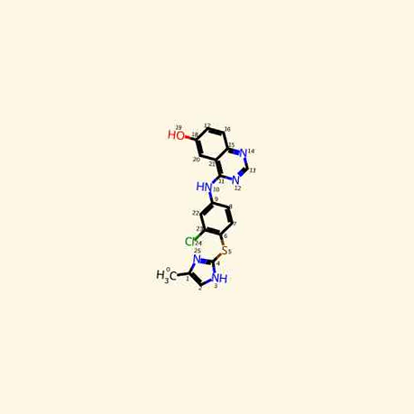 Cc1c[nH]c(Sc2ccc(Nc3ncnc4ccc(O)cc34)cc2Cl)n1